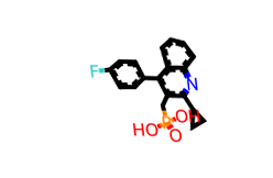 O=P(O)(O)Cc1c(C2CC2)nc2ccccc2c1-c1ccc(F)cc1